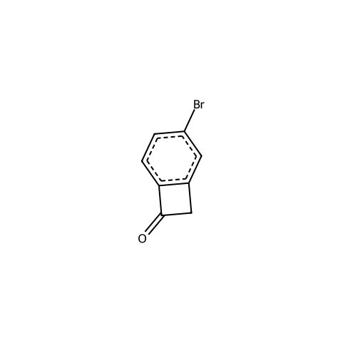 O=C1Cc2cc(Br)ccc21